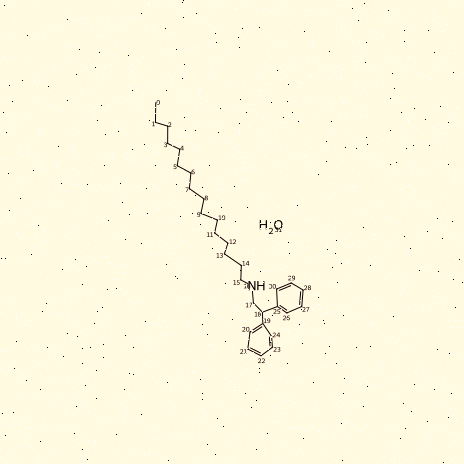 CCCCCCCCCCCCCCCCNCC(c1ccccc1)c1ccccc1.O